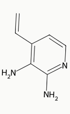 C=Cc1ccnc(N)c1N